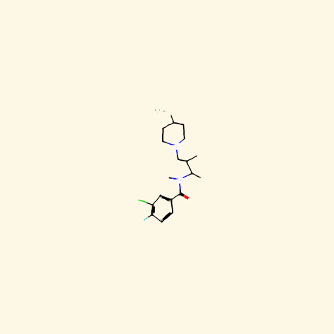 COC1CCN(CC(C)C(C)N(C)C(=O)c2ccc(F)c(Cl)c2)CC1